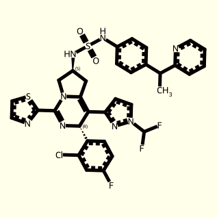 CC(c1ccc(NS(=O)(=O)N[C@H]2CC3=C(c4ccn(C(F)F)n4)[C@H](c4ccc(F)cc4Cl)N=C(c4nccs4)N3C2)cc1)c1ccccn1